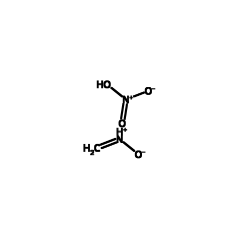 C=[NH+][O-].O=[N+]([O-])O